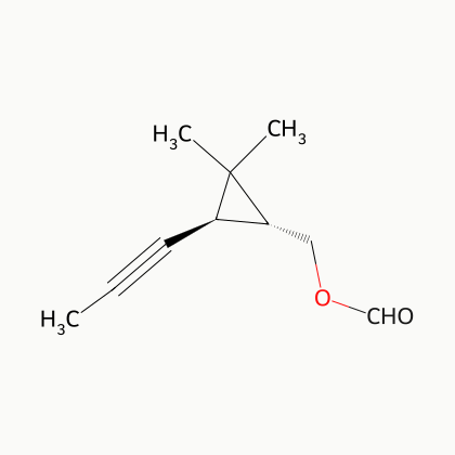 CC#C[C@@H]1[C@@H](COC=O)C1(C)C